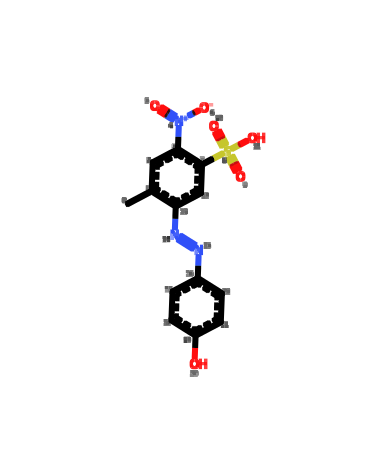 Cc1cc([N+](=O)[O-])c(S(=O)(=O)O)cc1N=Nc1ccc(O)cc1